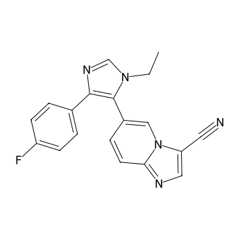 CCn1cnc(-c2ccc(F)cc2)c1-c1ccc2ncc(C#N)n2c1